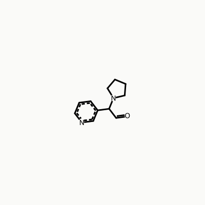 O=CC(c1cccnc1)N1CCCC1